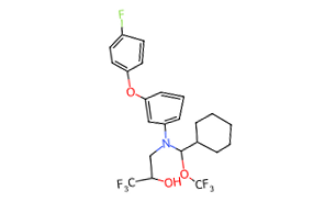 OC(CN(c1cccc(Oc2ccc(F)cc2)c1)C(OC(F)(F)F)C1CCCCC1)C(F)(F)F